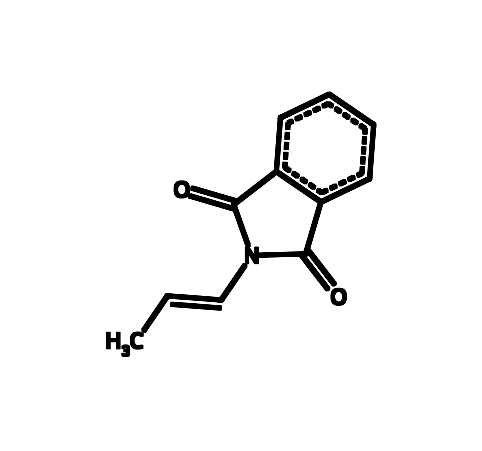 CC=CN1C(=O)c2ccccc2C1=O